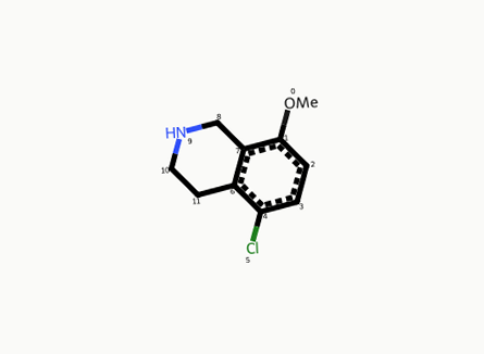 COc1ccc(Cl)c2c1CNCC2